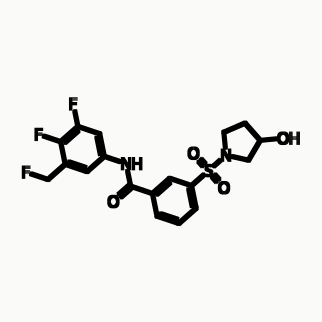 O=C(Nc1cc(F)c(F)c(CF)c1)c1cccc(S(=O)(=O)N2CCC(O)C2)c1